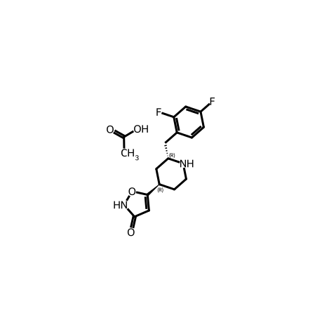 CC(=O)O.O=c1cc([C@@H]2CCN[C@@H](Cc3ccc(F)cc3F)C2)o[nH]1